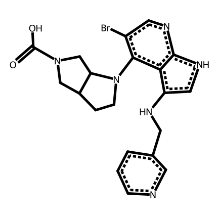 O=C(O)N1CC2CCN(c3c(Br)cnc4[nH]cc(NCc5cccnc5)c34)C2C1